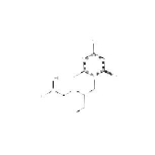 Cc1nc(N)nc(=O)n1C[C@@H](CO)OCP(O)O